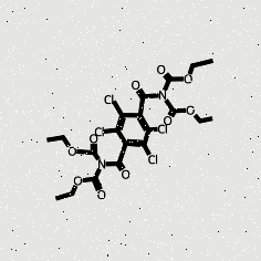 CCOC(=O)N(C(=O)OCC)C(=O)c1c(Cl)c(Cl)c(C(=O)N(C(=O)OCC)C(=O)OCC)c(Cl)c1Cl